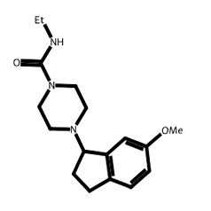 CCNC(=O)N1CCN(C2CCc3ccc(OC)cc32)CC1